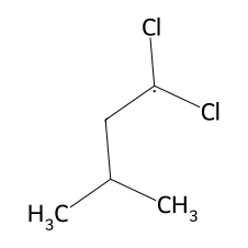 CC(C)C[C](Cl)Cl